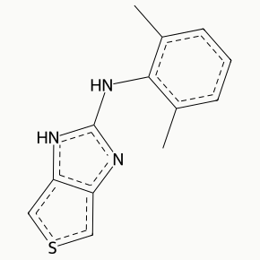 Cc1cccc(C)c1Nc1nc2cscc2[nH]1